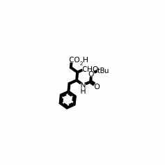 CC(C)(C)OC(=O)NC(Cc1ccccc1)C(C=O)CC(=O)O